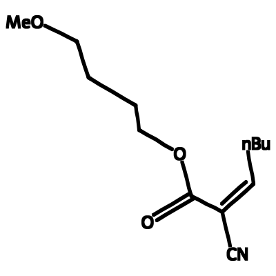 CCCCC=C(C#N)C(=O)OCCCCOC